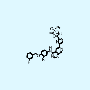 CCC(OC(C)S(=O)(=O)C(C)C)c1nc(-c2cc3c(Nc4ccc(OCc5cccc(F)c5)c(Br)c4)ncnc3cn2)cs1